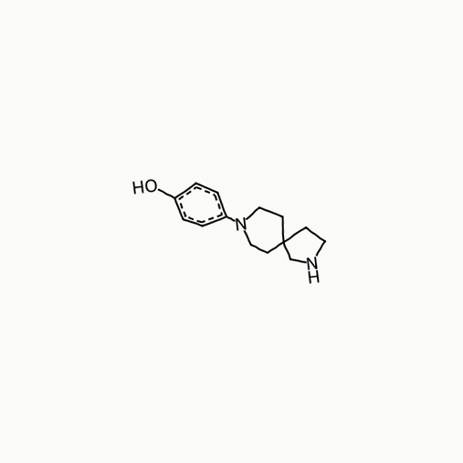 Oc1ccc(N2CCC3(CCNC3)CC2)cc1